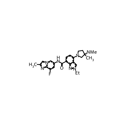 CCn1cc2c(N3CC[C@@](C)(NC)C3)ccc(C(=O)Nc3cc(F)c4nc(C)cn4c3)c2n1